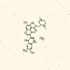 CN1CCN(C)C(COC(=O)c2c(O)c(O)cc3occ(-c4cn(C)c5cc(O)c(O)cc5c4=O)c(=O)c23)C1.Cl